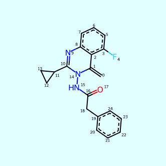 C=C1c2c(F)cccc2N=C(C2CC2)N1NC(=O)Cc1ccccc1